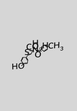 Cc1ccc(C(=O)Nc2cc(-c3ccc(O)cc3)sc2C(=O)O)cc1